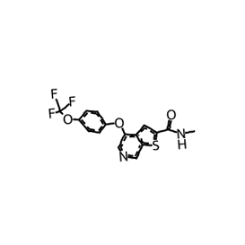 CNC(=O)c1cc2c(Oc3ccc(OC(F)(F)F)cc3)cncc2s1